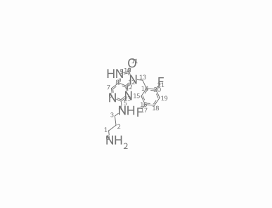 NCCCNc1ncc2[nH]c(=O)n(Cc3cc(F)ccc3F)c2n1